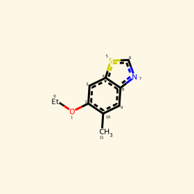 CCOc1cc2scnc2cc1C